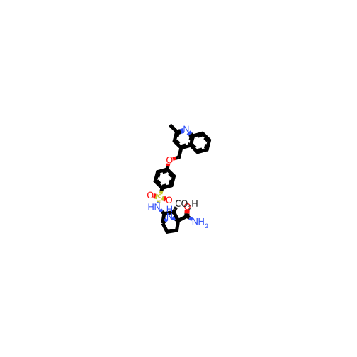 Cc1cc(COc2ccc(S(=O)(=O)NC3C4CCC(C(N)=O)(N4)C3C(=O)O)cc2)c2ccccc2n1